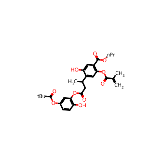 C=C(C)C(=O)Oc1cc(C(C)CC(=O)Oc2cc(OC(=O)C(C)(C)C)ccc2O)c(O)cc1C(=O)OCCC